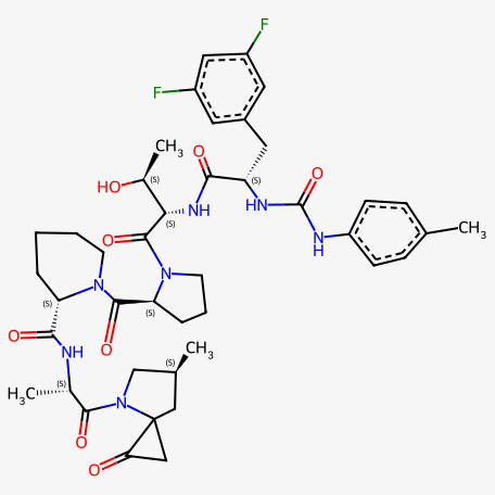 Cc1ccc(NC(=O)N[C@@H](Cc2cc(F)cc(F)c2)C(=O)N[C@H](C(=O)N2CCC[C@H]2C(=O)N2CCCC[C@H]2C(=O)N[C@@H](C)C(=O)N2C[C@@H](C)CC23CC3=O)[C@H](C)O)cc1